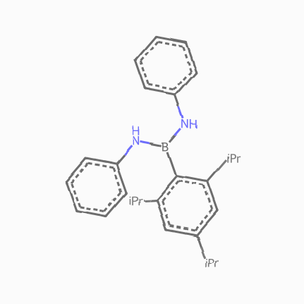 CC(C)c1cc(C(C)C)c(B(Nc2ccccc2)Nc2ccccc2)c(C(C)C)c1